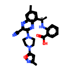 Cc1cc([C@@H](C)Nc2ccccc2C(=O)O)c2nc(N3CCN(c4cc(C)no4)CC3)c(C#N)nc2c1